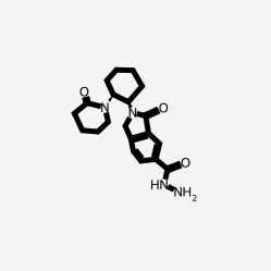 NNC(=O)c1ccc2c(c1)C(=O)N([C@@H]1CCCC[C@H]1N1CCCCC1=O)C2